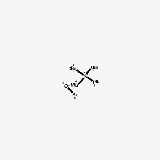 CC(=O)[O-].CC(C)(C)[N+](C(C)(C)C)(C(C)(C)C)C(C)(C)C